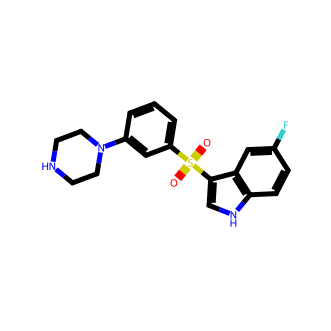 O=S(=O)(c1cccc(N2CCNCC2)c1)c1c[nH]c2ccc(F)cc12